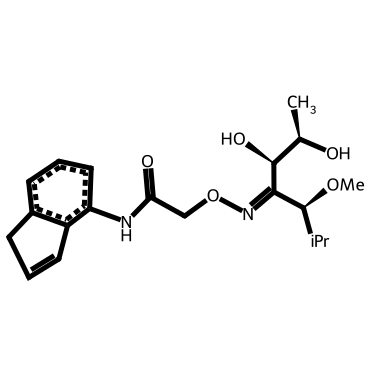 CO[C@H](/C(=N/OCC(=O)Nc1cccc2c1C=CC2)[C@@H](O)[C@@H](C)O)C(C)C